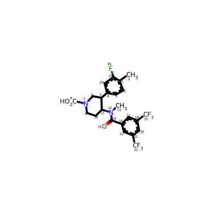 Cc1ccc(C2CN(C(=O)O)CCC2N(C)C(=O)c2cc(C(F)(F)F)cc(C(F)(F)F)c2)cc1F